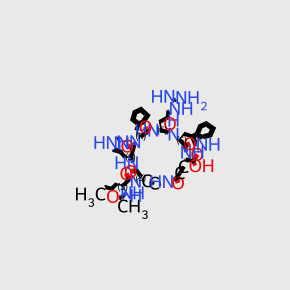 CCCC[C@H](NC(C)=O)C(=O)N[C@H]1CCCNC(=O)CCC(C(=O)O)NC(=O)[C@H](Cc2c[nH]c3ccccc23)NC(=O)[C@H](CCCNC(=N)N)NC(=O)[C@@H](Cc2ccccc2)NC(=O)[C@H](Cc2c[nH]cn2)NC1=O